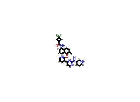 Cc1ccc2c(NC(=O)C3CC(F)(F)C3)cccc2c1Oc1ncccc1-c1ccnc(N[C@H]2CCCNC2)n1